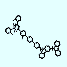 Cc1cc(-c2cc(-c3ccccc3C)nc(-c3ccccc3C)n2)ccc1-c1ccc(-c2ccc(-n3c4ccccc4c4cc(-n5c6ccccc6c6ccccc65)ccc43)cc2)cc1